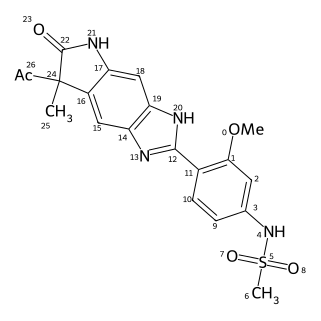 COc1cc(NS(C)(=O)=O)ccc1-c1nc2cc3c(cc2[nH]1)NC(=O)C3(C)C(C)=O